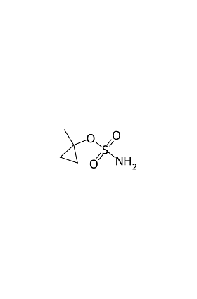 CC1(OS(N)(=O)=O)CC1